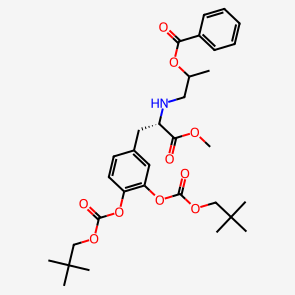 COC(=O)[C@H](Cc1ccc(OC(=O)OCC(C)(C)C)c(OC(=O)OCC(C)(C)C)c1)NCC(C)OC(=O)c1ccccc1